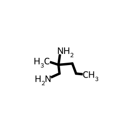 CCCC(C)(N)CN